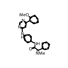 CN[C@H](C(=O)Nc1ccc(Nc2cc(-c3ccccc3OC)ncn2)cc1)c1ccccc1